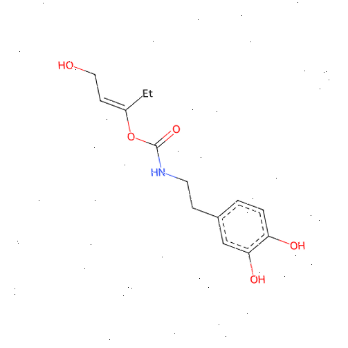 CC/C(=C\CO)OC(=O)NCCc1ccc(O)c(O)c1